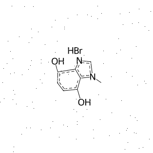 Br.Cn1cnc2c(O)ccc(O)c21